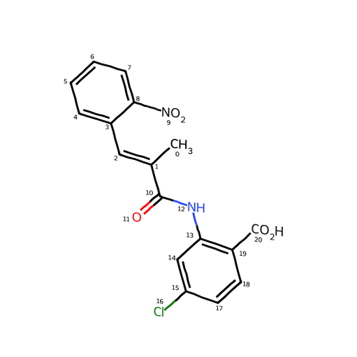 CC(=Cc1ccccc1[N+](=O)[O-])C(=O)Nc1cc(Cl)ccc1C(=O)O